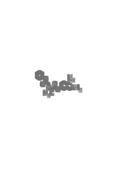 CC/C=C\C(=C/CCN)OC(=O)C(C)OCC(=O)Oc1ccccc1